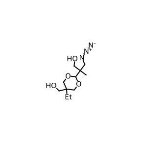 CCC1(CO)COC(C(C)(CO)CN=[N+]=[N-])OC1